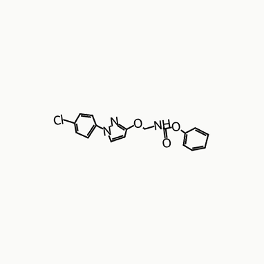 O=C(NCOc1ccn(-c2ccc(Cl)cc2)n1)Oc1ccccc1